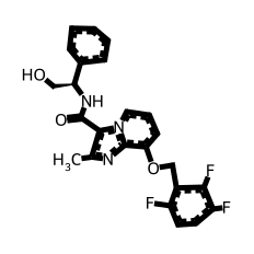 Cc1nc2c(OCc3c(F)ccc(F)c3F)cccn2c1C(=O)N[C@@H](CO)c1ccccc1